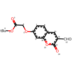 CC(C)(C)OC(=O)COc1ccc2cc(C=O)c(=O)oc2c1